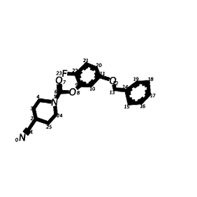 N#CC1CCN(C(=O)Oc2cc(OCc3ccccc3)ccc2F)CC1